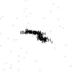 CCN(C)S(=O)(=O)Nc1ccc(F)c(C(=O)c2c[nH]c3ncc(-c4ccc(N5CC6(CN(C(=O)OC(C)(C)C)C6)C5)nc4)cc23)c1F